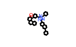 c1ccc(-c2ccc3cc(-c4nc(-c5ccccc5)nc(-c5ccc6oc7ccc8ccc9ccccc9c8c7c6c5)n4)ccc3c2)cc1